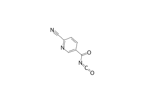 N#Cc1ccc(C(=O)N=C=O)cn1